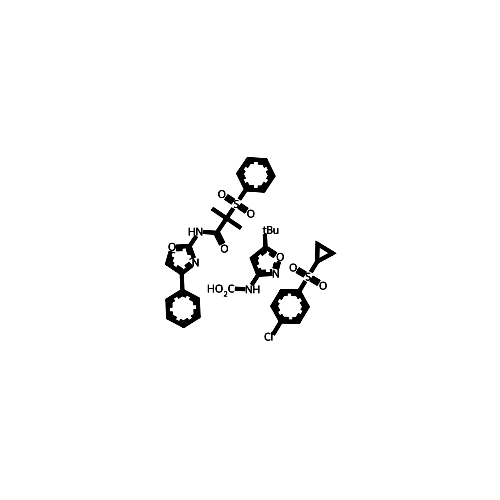 CC(C)(C(=O)Nc1nc(-c2ccccc2)co1)S(=O)(=O)c1ccccc1.CC(C)(C)c1cc(NC(=O)O)no1.O=S(=O)(c1ccc(Cl)cc1)C1CC1